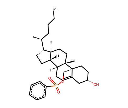 CC(C)CCC[C@@H](C)[C@H]1CC[C@H]2[C@@H]3CC=C4C[C@@H](O)CC[C@]4(COS(=O)(=O)c4ccccc4)[C@H]3CC[C@]12C